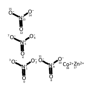 O=[N+]([O-])[O-].O=[N+]([O-])[O-].O=[N+]([O-])[O-].O=[N+]([O-])[O-].[Co+2].[Zn+2]